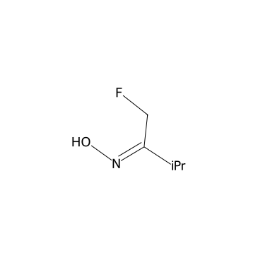 CC(C)C(CF)=NO